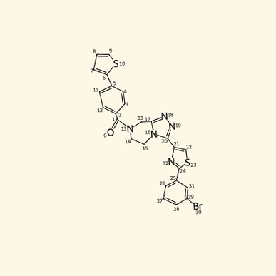 O=C(c1ccc(-c2cccs2)cc1)N1CCn2c(nnc2-c2csc(-c3cccc(Br)c3)n2)C1